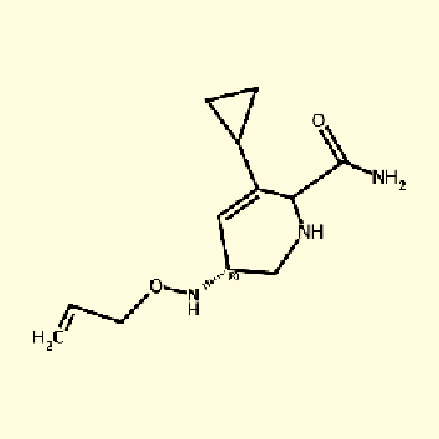 C=CCON[C@@H]1C=C(C2CC2)C(C(N)=O)NC1